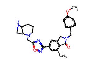 Cc1cc(-c2noc(CN3CCCC4NCC43)n2)cc2c1C(=O)N(Cc1ccc(OC(F)(F)F)cc1)C2